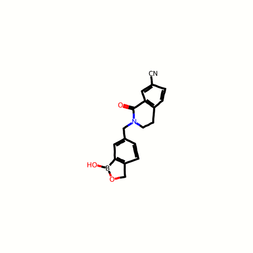 N#Cc1ccc2c(c1)C(=O)N(Cc1ccc3c(c1)B(O)OC3)CC2